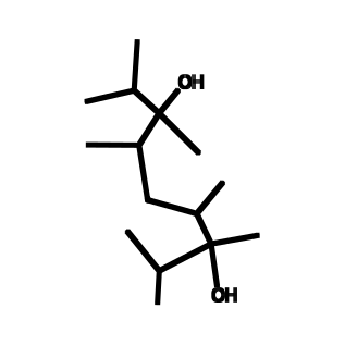 CC(C)C(C)(O)C(C)CC(C)C(C)(O)C(C)C